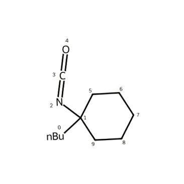 CCCCC1(N=C=O)CCCCC1